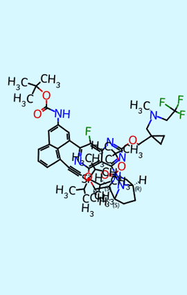 CC(C)[Si](C#Cc1cccc2cc(NC(=O)OC(C)(C)C)cc(-c3nc4c5c(nc(OCC6(CN(C)CC(F)(F)F)CC6)nc5c3F)N3C[C@H]5CC[C@@H]([C@H]3[C@H](C)O4)N5C(=O)OC(C)(C)C)c12)(C(C)C)C(C)C